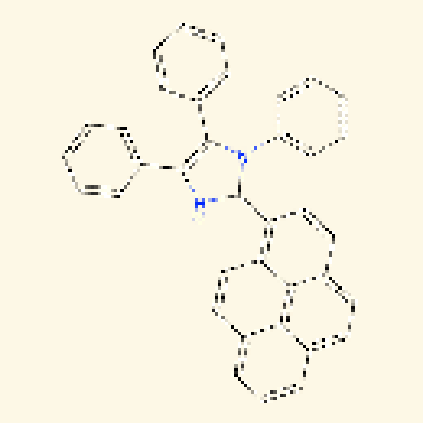 c1ccc(C2=C(c3ccccc3)N(c3ccccc3)C(c3ccc4ccc5cccc6ccc3c4c56)N2)cc1